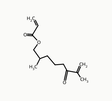 C=CC(=O)OCC(C)CCCC(=O)C(=C)C